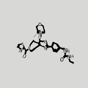 CCNC(=O)Nc1ccc(-c2nc3c(c(N4CCOC[C@H]4C)n2)CCN(C(=O)c2nccs2)C3)cc1